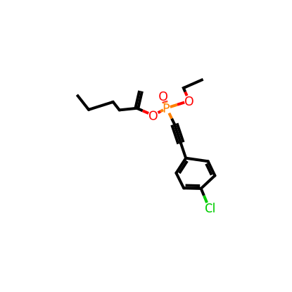 C=C(CCCC)OP(=O)(C#Cc1ccc(Cl)cc1)OCC